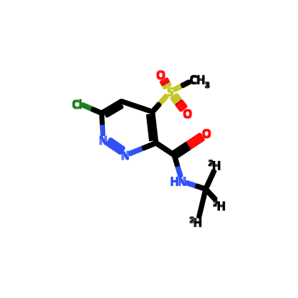 [2H]C([2H])([2H])NC(=O)c1nnc(Cl)cc1S(C)(=O)=O